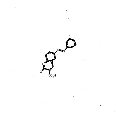 O=C(O)c1cc2cc(N=Nc3ccccc3)ccc2oc1=O